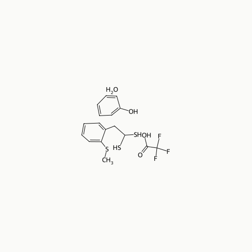 CSc1ccccc1CC(S)S.O.O=C(O)C(F)(F)F.Oc1ccccc1